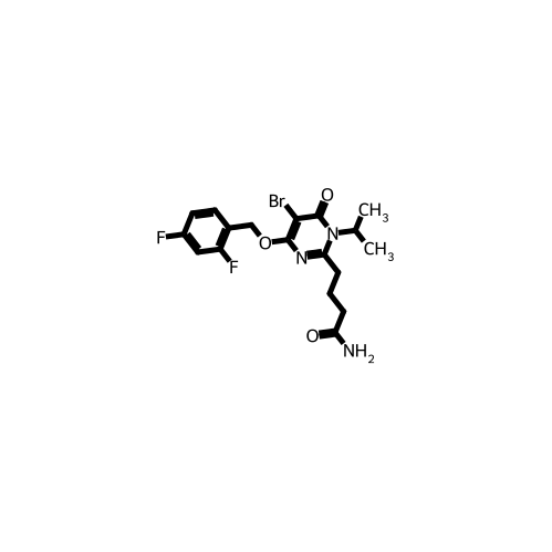 CC(C)n1c(CCCC(N)=O)nc(OCc2ccc(F)cc2F)c(Br)c1=O